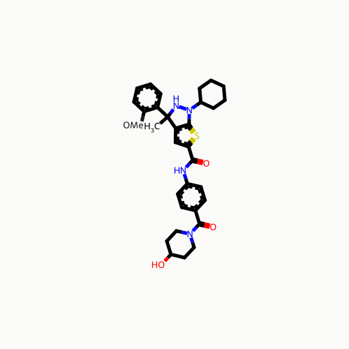 COc1ccccc1C1(C)NN(C2CCCCC2)c2sc(C(=O)Nc3ccc(C(=O)N4CCC(O)CC4)cc3)cc21